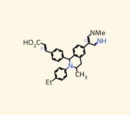 CCc1ccc(N2C(C)Cc3cc(/C(C=N)=C/NC)ccc3C2c2ccc(/C=C/C(=O)O)cc2)cc1